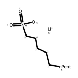 CCCCCCCCCCS(=O)(=O)[O-].[Li+]